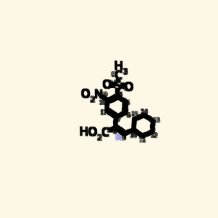 CS(=O)(=O)c1ccc(/C(=C\C2CCCCC2)C(=O)O)cc1[N+](=O)[O-]